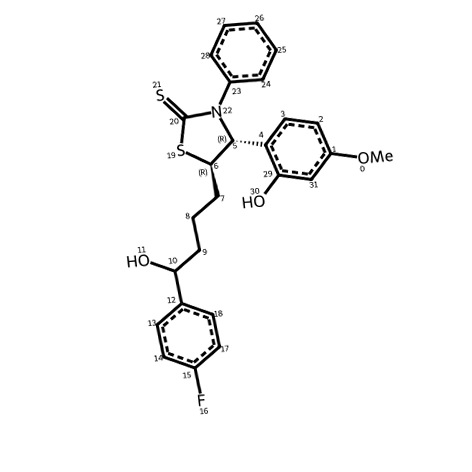 COc1ccc([C@@H]2[C@@H](CCCC(O)c3ccc(F)cc3)SC(=S)N2c2ccccc2)c(O)c1